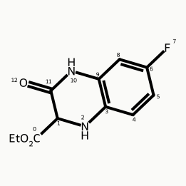 CCOC(=O)C1Nc2ccc(F)cc2NC1=O